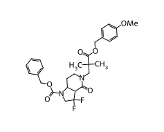 COc1ccc(COC(=O)C(C)(C)CN2CCC3C(C2=O)C(F)(F)CN3C(=O)OCc2ccccc2)cc1